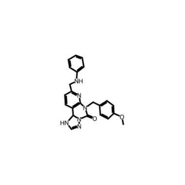 COc1ccc(CN2C(=O)N3N=CNC3c3ccc(CNc4ccccc4)nc32)cc1